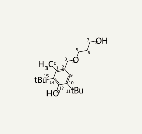 Cc1c(COCCCO)cc(C(C)(C)C)c(O)c1C(C)(C)C